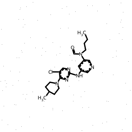 CCCCN(C=O)c1cncc(Nc2ncc(Cl)c(N3CCC(C)CC3)n2)c1